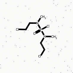 CN(CCCl)P(=O)(Cl)N(C)CCCl